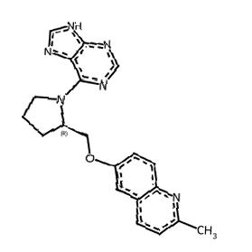 Cc1ccc2cc(OC[C@H]3CCCN3c3ncnc4[nH]cnc34)ccc2n1